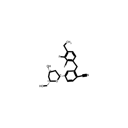 CCc1ccc(Cc2cc([C@H]3C[C@@H](O)C[C@@H](CO)O3)ccc2C#N)c(F)c1F